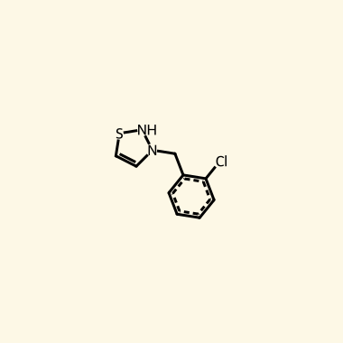 Clc1ccccc1CN1C=CSN1